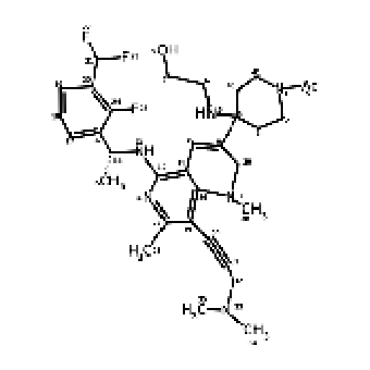 CC(=O)N1CCC(NCCO)(C2=Cc3c(N[C@H](C)c4cccc(C(F)F)c4F)nc(C)c(C#CCN(C)C)c3N(C)C2)CC1